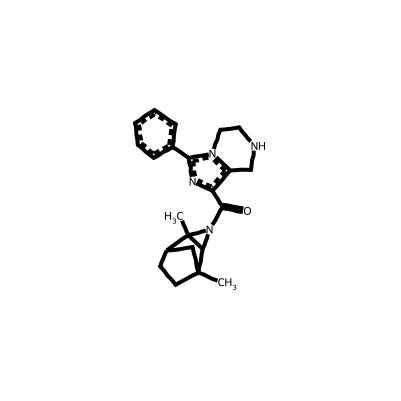 CC12CCC(C1)C1(C)C2N1C(=O)c1nc(-c2ccccc2)n2c1CNCC2